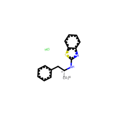 Cl.O=C(O)[C@H](Cc1ccccc1)Nc1nc2ccccc2s1